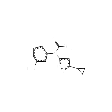 NC(=O)N(c1cccc(N)c1)c1cc(C2CC2)n[nH]1